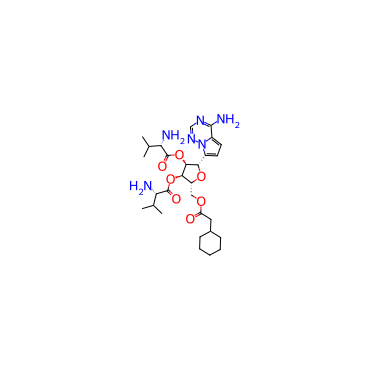 CC(C)[C@H](N)C(=O)O[C@@H]1[C@H](OC(=O)[C@@H](N)C(C)C)[C@@H](COC(=O)CC2CCCCC2)O[C@H]1c1ccc2c(N)ncnn12